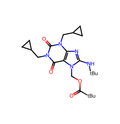 CC(C)(C)Nc1nc2c(c(=O)n(CC3CC3)c(=O)n2CC2CC2)n1COC(=O)C(C)(C)C